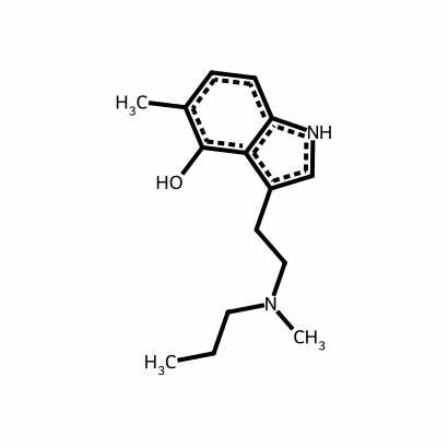 CCCN(C)CCc1c[nH]c2ccc(C)c(O)c12